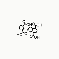 O=C(O)c1ccc(C(=O)O)c2ccccc12.O=C(O)c1cccc(C(=O)O)c1